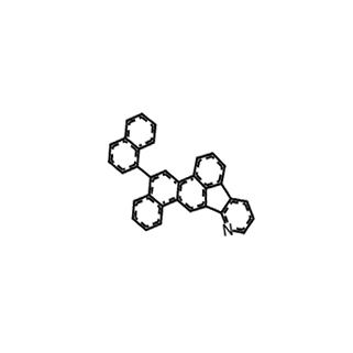 c1cnc2c(c1)-c1cccc3c1c-2cc1c2ccccc2c(-c2cccc4ccccc24)cc31